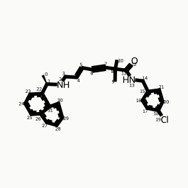 C[C@@H](NC/C=C/C#CC(C)(C)C(=O)NCc1ccc(Cl)cc1)c1cccc2ccccc12